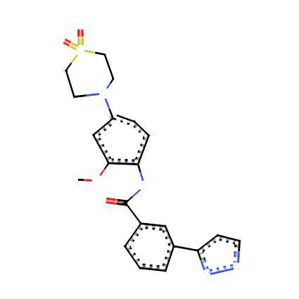 COc1cc(N2CCS(=O)(=O)CC2)ccc1NC(=O)c1cccc(-c2cc[nH]n2)c1